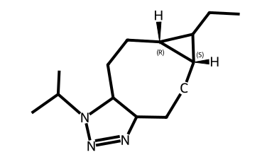 CCC1[C@H]2CCC3C(CC[C@@H]12)N=NN3C(C)C